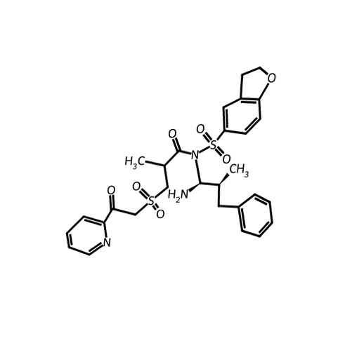 CC(CS(=O)(=O)CC(=O)c1ccccn1)C(=O)N([C@H](N)[C@@H](C)Cc1ccccc1)S(=O)(=O)c1ccc2c(c1)CCO2